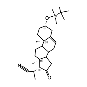 CC(C#N)[C@H]1C(=O)CC2C3CC=C4C[C@@H](O[Si](C)(C)C(C)(C)C)CC[C@]4(C)C3CC[C@@]21C